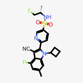 Cc1cc(F)c2c(C#N)c(-c3ccc(S(=O)(=O)N[C@@H](C)CF)cn3)n(C3CCC3)c2c1